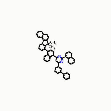 CC1(C)c2ccc3ccccc3c2-c2cccc(-c3ccc(-c4cc(-c5cccc(-c6ccccc6)c5)nc(-c5cccc6ccccc56)n4)c4ccccc34)c21